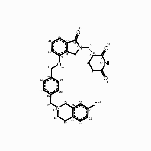 O=C1CC[C@H](CN2Cc3c(OCc4ccc(CN5CCc6ccc(F)cc6C5)cc4)cccc3C2=O)C(=O)N1